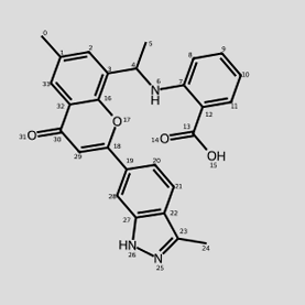 Cc1cc(C(C)Nc2ccccc2C(=O)O)c2oc(-c3ccc4c(C)n[nH]c4c3)cc(=O)c2c1